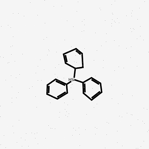 C1=CCC([SiH](c2ccccc2)c2ccccc2)C=C1